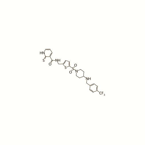 O=C(NCc1ccc(S(=O)(=O)N2CCC(NCc3ccc(C(F)(F)F)cc3)CC2)s1)c1ccc[nH]c1=S